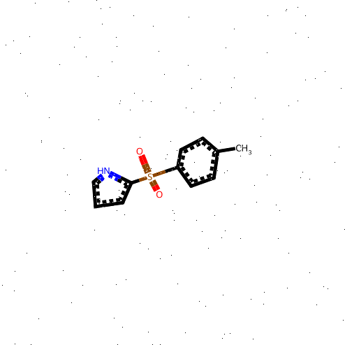 Cc1ccc(S(=O)(=O)c2ccc[nH]2)cc1